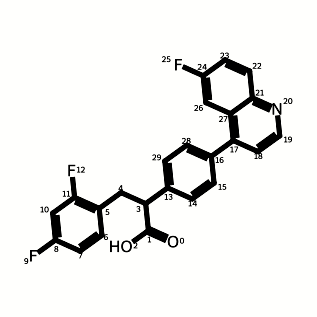 O=C(O)C(Cc1ccc(F)cc1F)c1ccc(-c2ccnc3ccc(F)cc23)cc1